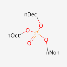 CCCCCCCCCCOP(=O)(OCCCCCCCC)OCCCCCCCCC